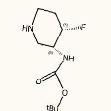 CC(C)(C)OC(=O)N[C@@H]1CNCC[C@@H]1F